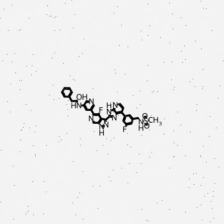 CS(=O)(=O)NCc1cc(F)cc(-c2ccnc3[nH]c(-c4n[nH]c5cnc(-c6cncc(NC(O)Cc7ccccc7)c6)c(F)c45)nc23)c1